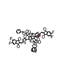 O=C1C(=Cc2cc3c(s2)-c2sc4c5c(sc4c2C(C(=O)OCc2ccccc2)(C(=O)OCc2ccccc2)O3)-c2sc(C=C3C(=O)c4cc(F)c(F)cc4C3=O)cc2OC5(C(=O)OCc2ccccc2)C(=O)OCc2ccccc2)C(=O)c2cc(F)c(F)cc21